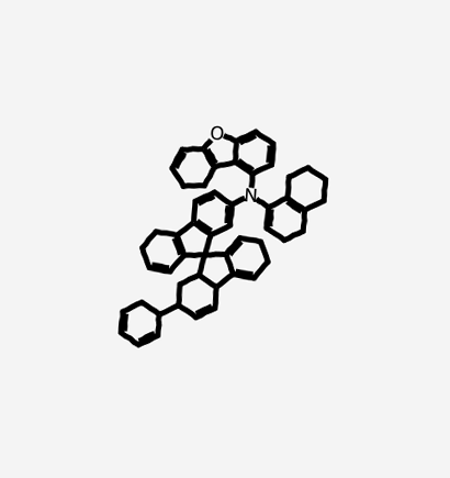 C1=CCC(C2C=CC3C4=CCCC=C4C4(C5=C(CCC=C5)c5ccc(N(C6=CCCC7=C6CCCC7)c6cccc7oc8c(c67)CCC=C8)cc54)C3C2)C=C1